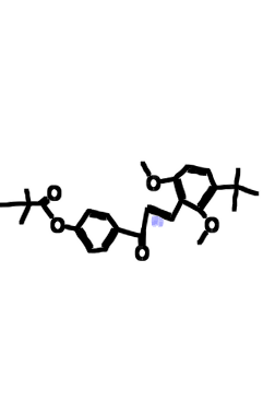 COc1ccc(C(C)(C)C)c(OC)c1/C=C/C(=O)c1ccc(OC(=O)C(C)(C)C)cc1